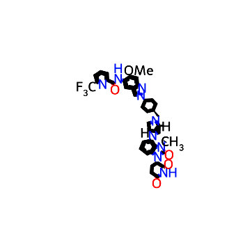 COc1cc2nn([C@H]3CC[C@H](CN4C[C@@H]5C[C@H]4CN5c4cccc5c4n(C)c(=O)n5C4CCC(=O)NC4=O)CC3)cc2cc1NC(=O)c1cccc(C(F)(F)F)n1